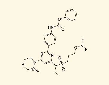 CCC(c1cc(N2CCOC[C@@H]2C)nc(-c2ccc(NC(=O)Oc3ccccc3)cc2)n1)S(=O)(=O)CCCOC(F)F